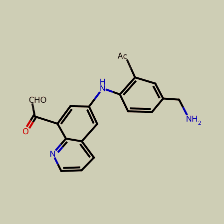 CC(=O)c1cc(CN)ccc1Nc1cc(C(=O)C=O)c2ncccc2c1